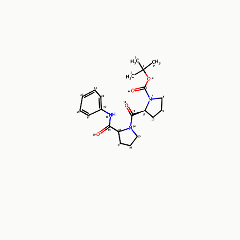 CC(C)(C)OC(=O)N1CCC[C@H]1C(=O)N1CCCC1C(=O)Nc1ccccc1